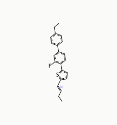 CC/C=C/c1ccc(-c2ccc(-c3ccc(CC)cc3)cc2F)s1